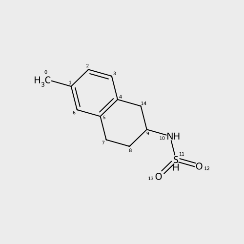 Cc1ccc2c(c1)CCC(N[SH](=O)=O)C2